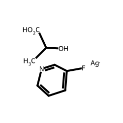 CC(O)C(=O)O.Fc1cccnc1.[Ag]